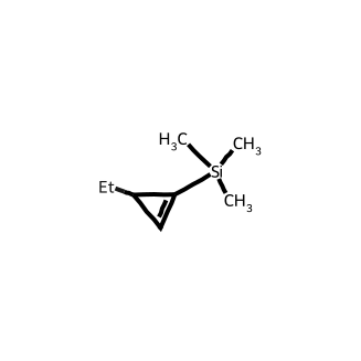 CCC1C=C1[Si](C)(C)C